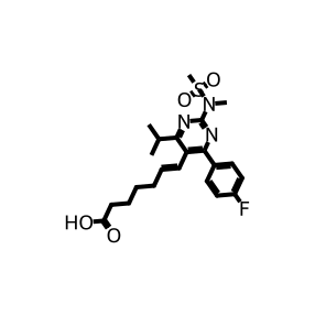 CC(C)c1nc(N(C)S(C)(=O)=O)nc(-c2ccc(F)cc2)c1/C=C/CCCCC(=O)O